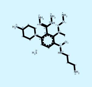 CN(SON)c1c([S+]([O-])NCCCN)ccc(N2CCC(N)CC2)c1/C(=N/N)NN.S